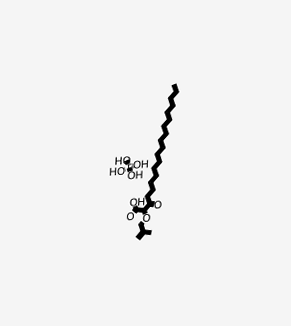 C=C(C)COC(C(=O)O)C(=O)CCCCCCCCCCCCCCCCC.[OH][Ti]([OH])([OH])[OH]